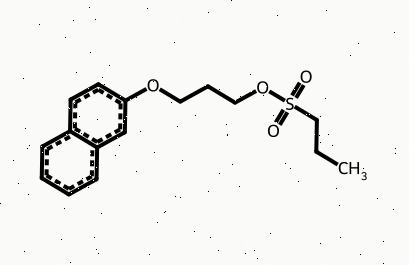 CCCS(=O)(=O)OCCCOc1ccc2ccccc2c1